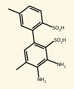 Cc1ccc(S(=O)(=O)O)c(-c2cc(C)c(N)c(N)c2S(=O)(=O)O)c1